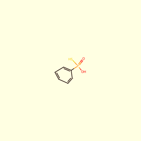 O=P(O)(S)c1[c]cccc1